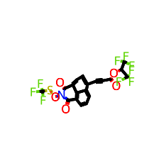 O=C(C#Cc1ccc2c3c(cccc13)C(=O)N(OSC(F)(F)F)C2=O)OC(C(F)(F)F)C(F)(F)F